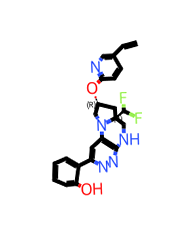 C=Cc1ccc(O[C@H]2CN3c4cc(-c5ccccc5O)nnc4NC[C@@]3(C(F)F)C2)nc1